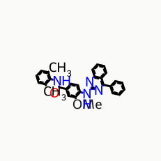 COc1cc(C(=O)Nc2c(C)cccc2C)ccc1Nc1nc(-c2ccccc2)c2ccccc2n1